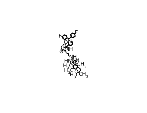 Cc1c(C)c(S(=O)(=O)NC(=N)NCCC[C@H](NC(=O)c2cccn(C(c3ccc(F)cc3)c3ccc(F)cc3)c2=O)C(=O)O)c(C)c2c1OC(C)(C)CC2